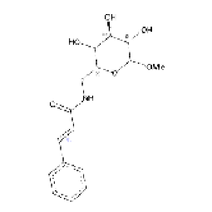 COC1O[C@H](CNC(=O)/C=C/c2ccccc2)C(O)[C@@H](O)[C@@H]1O